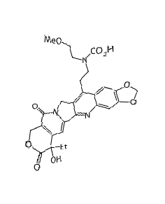 CCC1(O)C(=O)OCc2c1cc1n(c2=O)Cc2c-1nc1cc3c(cc1c2CCN(CCOC)C(=O)O)OCO3